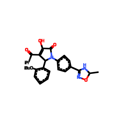 CC(C)COc1ccccc1C1C(C(=O)C(C)C)=C(O)C(=O)N1c1ccc(C2=NOC(C)N2)cc1